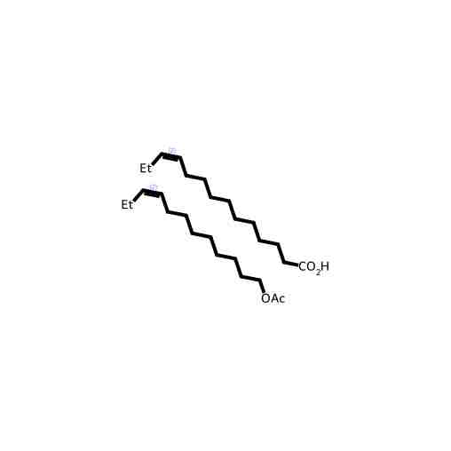 CC/C=C\CCCCCCCCCC(=O)O.CC/C=C\CCCCCCCCOC(C)=O